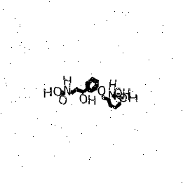 O=C(O)NCC[C@@H](O)c1cccc(OCC2CCCS(O)(O)N2)c1